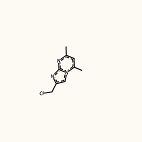 Cc1cc(C)n2cc(CCl)nc2n1